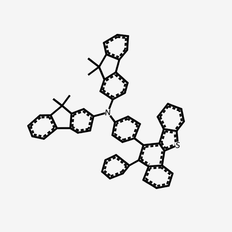 CC1(C)c2ccccc2-c2ccc(N(c3ccc(-c4c(-c5ccccc5)c5ccccc5c5sc6ccccc6c45)cc3)c3ccc4c(c3)C(C)(C)c3ccccc3-4)cc21